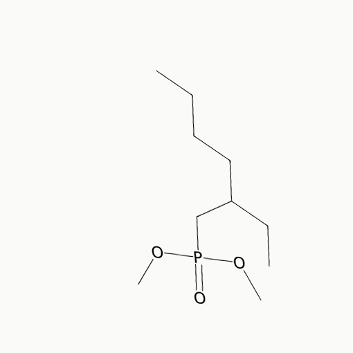 CCCCC(CC)CP(=O)(OC)OC